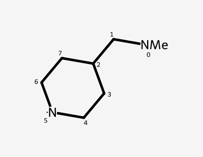 CNCC1CC[N]CC1